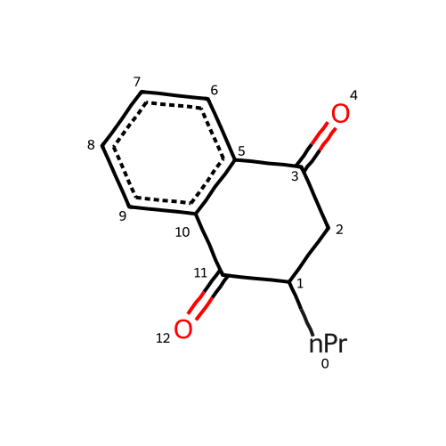 CCCC1CC(=O)c2ccccc2C1=O